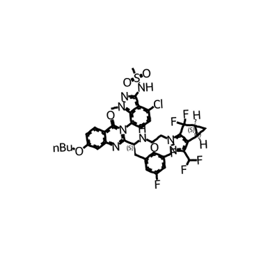 CCCCOc1ccc2c(=O)n(-c3ccc(Cl)c4c(NS(C)(=O)=O)nn(C)c34)c([C@H](Cc3cc(F)cc(F)c3)NC(=O)Cn3nc(C(F)F)c4c3C(F)(F)[C@H]3C[C@@H]43)nc2c1